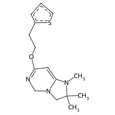 CN1C2=CC(OCCc3cccs3)=NCN2CC1(C)C